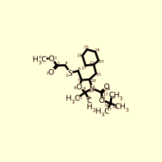 COC(=O)CSCC1OC(C)(C)N(C(=O)OC(C)(C)C)C1CC1CCCCC1